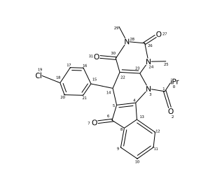 CC(C)C(=O)N1C2=C(C(=O)c3ccccc32)C(c2ccc(Cl)cc2)c2c1n(C)c(=O)n(C)c2=O